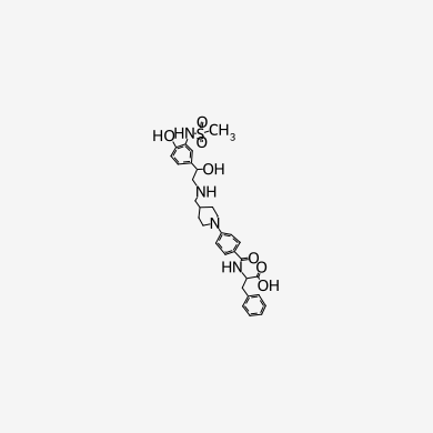 CS(=O)(=O)Nc1cc(C(O)CNCC2CCN(c3ccc(C(=O)NC(Cc4ccccc4)C(=O)O)cc3)CC2)ccc1O